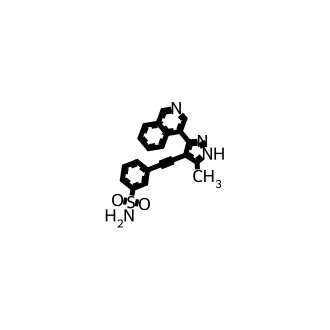 Cc1[nH]nc(-c2cncc3ccccc23)c1C#Cc1cccc(S(N)(=O)=O)c1